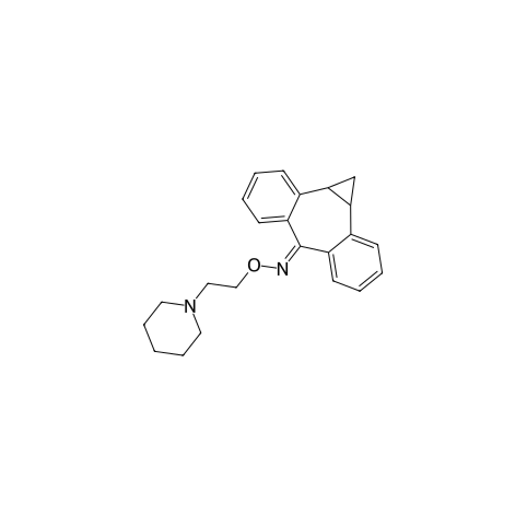 c1ccc2c(c1)C(=NOCCN1CCCCC1)c1ccccc1C1CC21